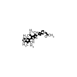 CC(=O)CN1CC[C@]2(C1)C[C@@H](c1sc3[nH]c(-c4cn5ncnc5c(C)c4C)c(C(C)C)c3c1C)C2